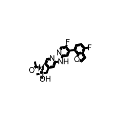 CC(=O)N=[SH](C)(O)Cc1ccnc(Nc2cc(-c3ccc(F)c4ccoc34)c(F)cn2)c1